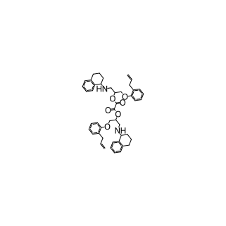 C=CCc1ccccc1OCC(CNC1CCCc2ccccc21)OC(=O)C(=O)OC(CNC1CCCc2ccccc21)COc1ccccc1CC=C